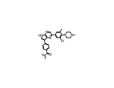 CCc1cc(-c2cnc3[nH]cc(-c4ccc(C(=O)N(C)C)cc4)c3n2)cc(C)c1N1CCN(C)CC1